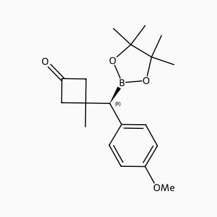 COc1ccc([C@H](B2OC(C)(C)C(C)(C)O2)C2(C)CC(=O)C2)cc1